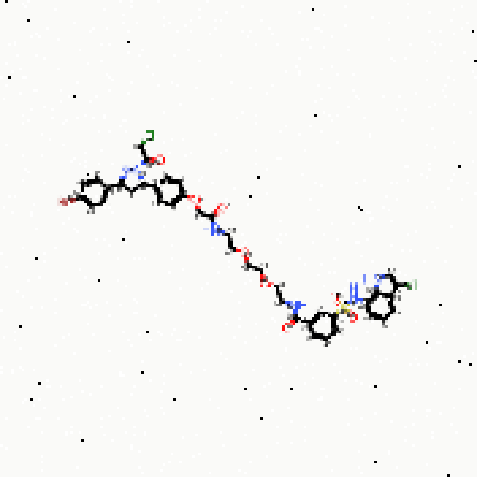 O=C(COc1ccc(C2CC(c3ccc(Br)cc3)=NN2C(=O)CCl)cc1)NCCOCCOCCNC(=O)c1cccc(S(=O)(=O)Nc2cccc3c(Cl)c[nH]c23)c1